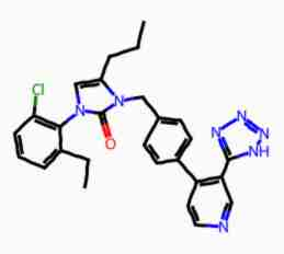 CCCc1cn(-c2c(Cl)cccc2CC)c(=O)n1Cc1ccc(-c2ccncc2-c2nnn[nH]2)cc1